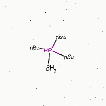 B[PH](CCCC)(CCCC)CCCC